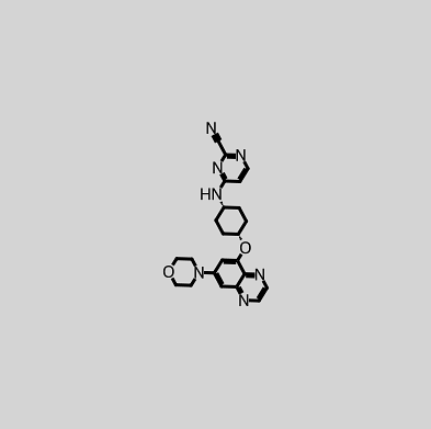 N#Cc1nccc(N[C@H]2CC[C@@H](Oc3cc(N4CCOCC4)cc4nccnc34)CC2)n1